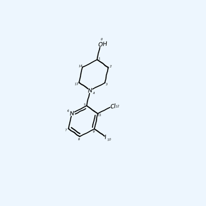 OC1CCN(c2nccc(I)c2Cl)CC1